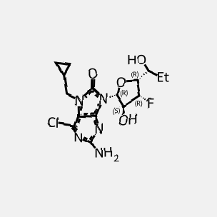 CCC(O)[C@H]1O[C@@H](n2c(=O)n(CC3CC3)c3c(Cl)nc(N)nc32)[C@H](O)[C@H]1F